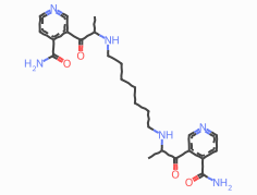 CC(NCCCCCCCNC(C)C(=O)c1cnccc1C(N)=O)C(=O)c1cnccc1C(N)=O